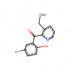 COCc1cccnc1C(=O)c1cc(Br)ccc1O